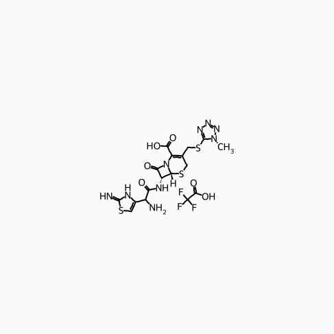 Cn1nnnc1SCC1=C(C(=O)O)N2C(=O)[C@@H](NC(=O)C(N)c3csc(=N)[nH]3)[C@H]2SC1.O=C(O)C(F)(F)F